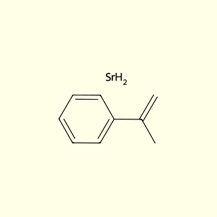 C=C(C)c1ccccc1.[SrH2]